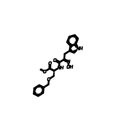 COC(=O)[C@H](COCc1ccccc1)NC(=O)C(Cc1c[nH]c2ccccc12)=NO